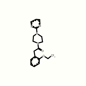 O=C(Cc1ccccc1OCC(F)(F)F)N1CCN(c2ncccn2)CC1